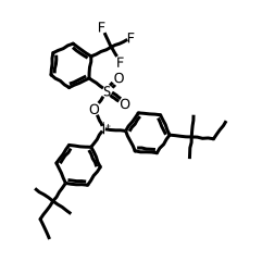 CCC(C)(C)c1ccc([I+](OS(=O)(=O)c2ccccc2C(F)(F)F)c2ccc(C(C)(C)CC)cc2)cc1